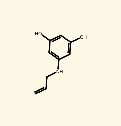 C=CCNc1cc(O)cc(O)c1